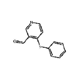 O=Cc1cnccc1Sc1ccccc1